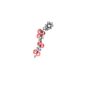 COC(=O)/C=C/C(=O)OCCCC(=O)OC(=O)CCc1ccccc1